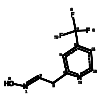 ON=CCc1cc(C(F)(F)F)ccn1